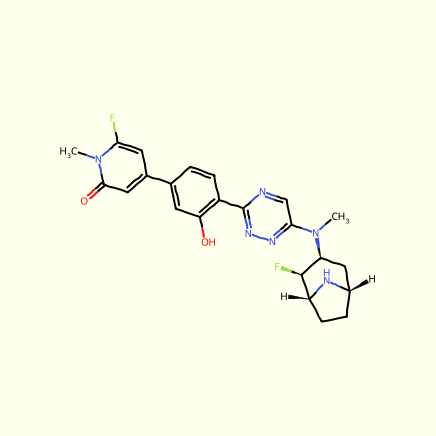 CN(c1cnc(-c2ccc(-c3cc(F)n(C)c(=O)c3)cc2O)nn1)[C@H]1C[C@@H]2CC[C@@H](N2)[C@H]1F